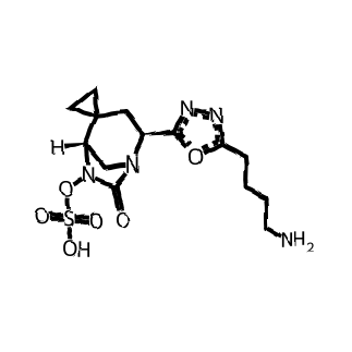 NCCCCc1nnc([C@@H]2CC3(CC3)[C@@H]3CN2C(=O)N3OS(=O)(=O)O)o1